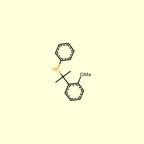 COc1ccccc1C(C)(C)Pc1ccccc1